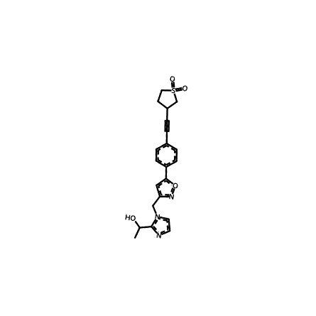 CC(O)c1nccn1Cc1cc(-c2ccc(C#CC3CCS(=O)(=O)C3)cc2)on1